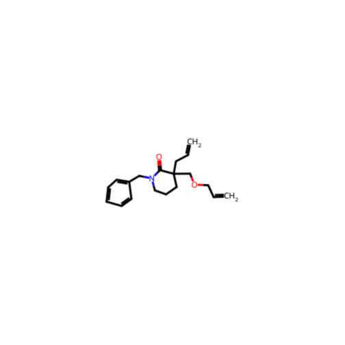 C=CCOCC1(CC=C)CCCN(Cc2ccccc2)C1=O